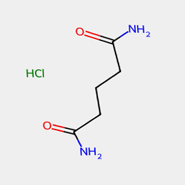 Cl.NC(=O)CCCC(N)=O